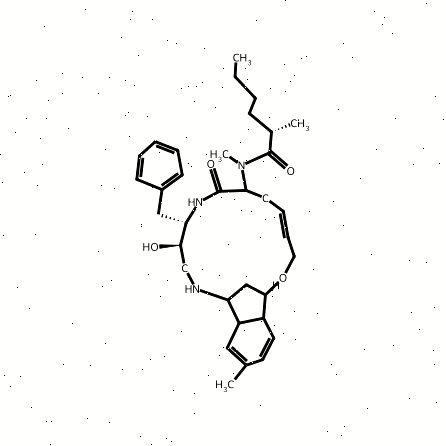 CCCC[C@H](C)C(=O)N(C)C1CC=CCO[C@@H]2CC(NC[C@@H](O)[C@H](Cc3ccccc3)NC1=O)C1C=C(C)C=CC12